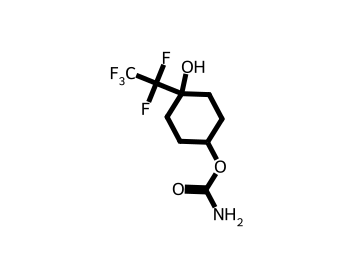 NC(=O)OC1CCC(O)(C(F)(F)C(F)(F)F)CC1